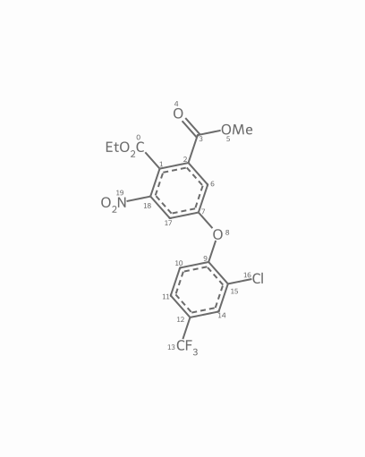 CCOC(=O)c1c(C(=O)OC)cc(Oc2ccc(C(F)(F)F)cc2Cl)cc1[N+](=O)[O-]